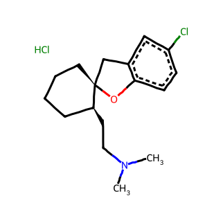 CN(C)CC[C@H]1CCCC[C@]12Cc1cc(Cl)ccc1O2.Cl